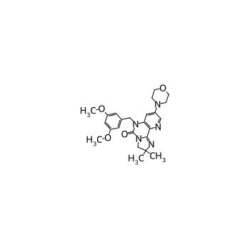 COc1cc(CN2C(=O)N3CC(C)(C)N=C3c3ncc(N4CCOCC4)cc32)cc(OC)c1